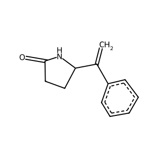 C=C(c1ccccc1)C1CCC(=O)N1